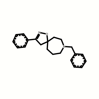 c1ccc(CN2CCCC3(CC2)CC(c2ccccc2)=NO3)cc1